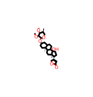 COC1[C@@H](C)CO[C@H](O[C@H]2CC[C@@]3(C)C(CCC4C3CC[C@]3(C)[C@@H](C5=CC(=O)OC5)CC[C@]43O)C2)[C@H]1OC